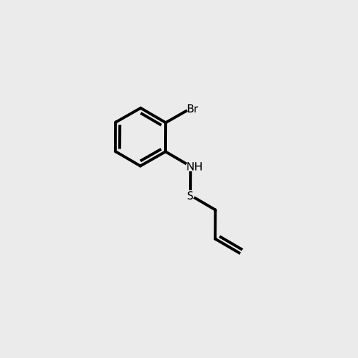 C=CCSNc1ccccc1Br